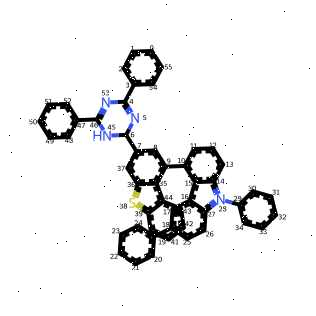 c1ccc(C2=NC(c3cc(-c4cccc5c4c4cc(-c6ccccc6)ccc4n5-c4ccccc4)c4c(c3)sc3ccccc34)NC(c3ccccc3)=N2)cc1